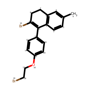 Cc1ccc2c(c1)CCC(Br)=C2c1ccc(OCCBr)cc1